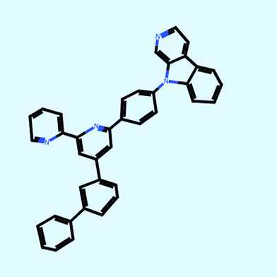 c1ccc(-c2cccc(-c3cc(-c4ccc(-n5c6ccccc6c6ccncc65)cc4)nc(-c4ccccn4)c3)c2)cc1